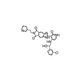 O=C1c2cc3nc(-c4c(NCC(O)c5cccc(Cl)c5)cc[nH]c4=O)[nH]c3cc2C(=O)N1CCc1cccnc1